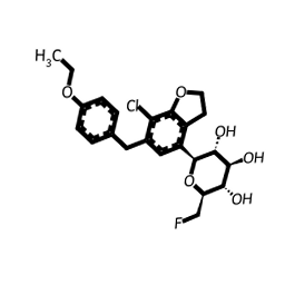 CCOc1ccc(Cc2cc([C@@H]3O[C@H](CF)[C@@H](O)[C@H](O)[C@H]3O)c3c(c2Cl)OCC3)cc1